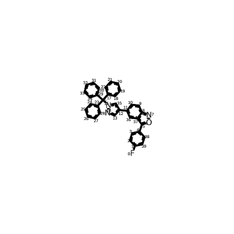 Fc1ccc(-c2onc3ccc(-c4cnn(C(c5ccccc5)(c5ccccc5)c5ccccc5)c4)cc23)cc1